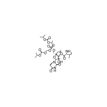 CC(C)OC(=O)OCOP(=O)(OC[C@@]1(CF)OC(n2ccc(=O)[nH]c2=O)[C@](C)(O)[C@@H]1OC(=O)C(N)C(C)C)OC(C)OC(=O)OC(C)C